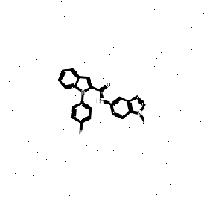 Cn1ccc2cc(NC(=O)c3cc4ccccc4n3-c3ccc(F)cc3)ccc21